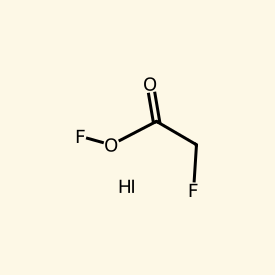 I.O=C(CF)OF